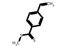 C=Cc1ccc(C(=S)SC)cc1